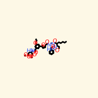 CCCCCC(C(=O)NCNC(=O)c1ccc(-c2cc(OCC)cc(C(=O)NC(CC(=O)OC)C(=O)OC)c2)o1)C(CC)N(C=O)OCc1ccccc1